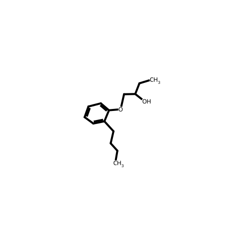 CCCCc1ccccc1OCC(O)CC